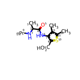 CCCNC(C)C(=O)Nc1c(C(=O)O)sc(C)c1C